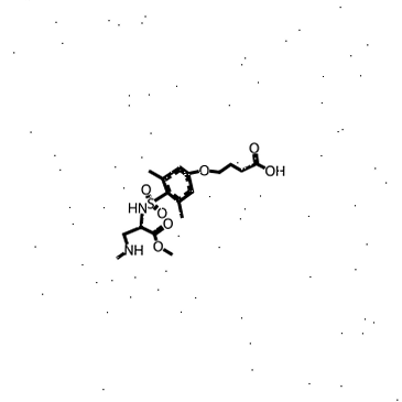 CNCC(NS(=O)(=O)c1c(C)cc(OCCCC(=O)O)cc1C)C(=O)OC